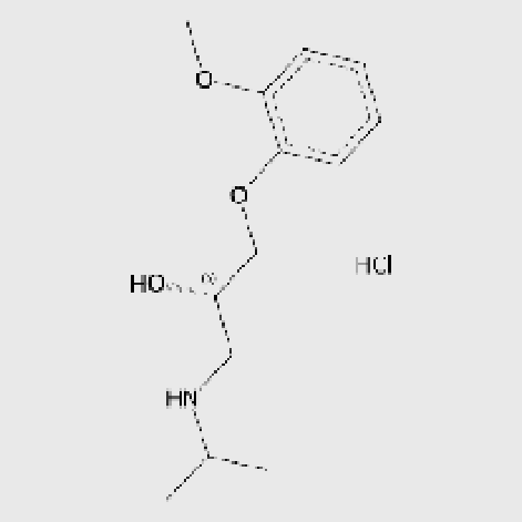 COc1ccccc1OC[C@@H](O)CNC(C)C.Cl